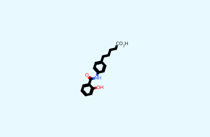 O=C(O)CCCCc1ccc(NC(=O)c2ccccc2O)cc1